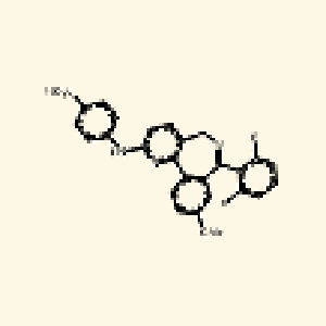 COc1ccc2c(c1)C(c1c(F)cccc1F)=NCc1ccc(Nc3ccc(C(=O)O)cc3)nc1-2